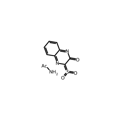 CC(N)=O.O=C1N=c2ccccc2=NC1=S(=O)=O